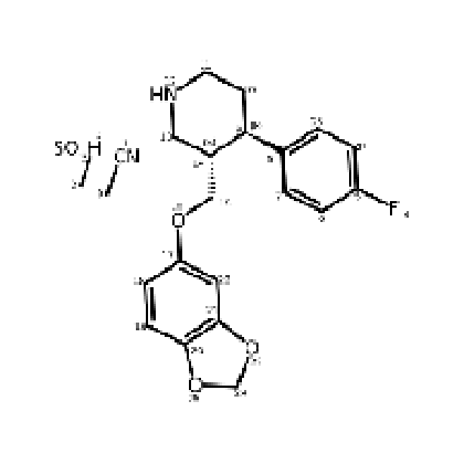 CC#N.CS(=O)(=O)O.Fc1ccc([C@@H]2CCNC[C@H]2COc2ccc3c(c2)OCO3)cc1